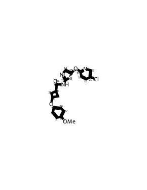 COc1ccc(OC2CC(C(=O)Nc3ncc(Oc4ccc(Cl)cn4)s3)C2)cc1